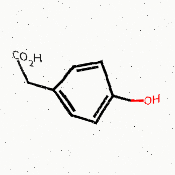 O=C(O)[CH]c1ccc(O)cc1